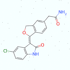 NC(=O)Cc1ccc2c(c1)COC2=C1C(=O)Nc2ccc(Cl)cc21